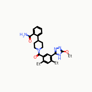 CCOc1nnc(-c2cc(C(=O)N3CCC(c4ccccc4C(N)=O)CC3)c(CC)cc2CC)[nH]1